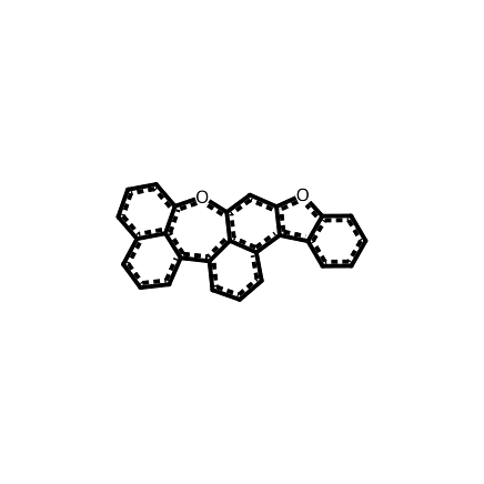 c1ccc2c(c1)oc1cc3oc4cccc5cccc(c6cccc(c12)c36)c54